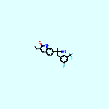 CCc1cc2ccc(C(C)(C#N)Cc3cc(F)cc(C(F)(F)F)c3)cc2[nH]c1=O